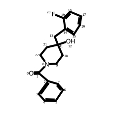 O=C(c1ccccc1)N1CCC(O)(Cc2ccccc2F)CC1